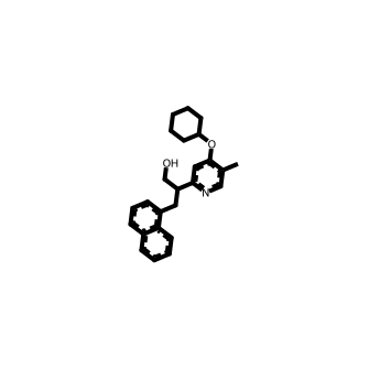 Cc1cnc(C(CO)Cc2cccc3ccccc23)cc1OC1CCCCC1